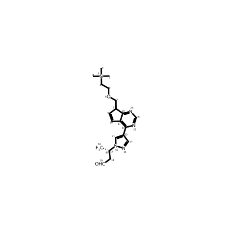 C[Si](C)(C)CCOCC1C=Cc2c(-c3cnn([C@H](CC=O)C(F)(F)F)c3)ncnc21